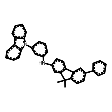 CC1(C)c2ccc(-c3ccccc3)cc2-c2ccc(Nc3cccc(-n4c5ccccc5c5ccccc54)c3)cc21